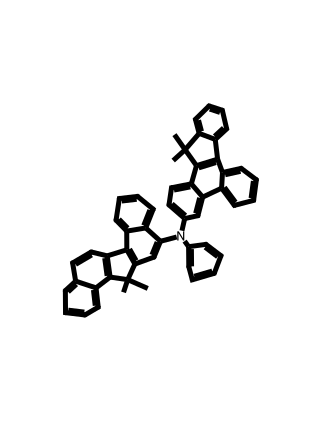 CC1(C)c2cc(N(c3ccccc3)c3ccc4c5c(c6ccccc6c4c3)-c3ccccc3C5(C)C)c3ccccc3c2-c2ccc3ccccc3c21